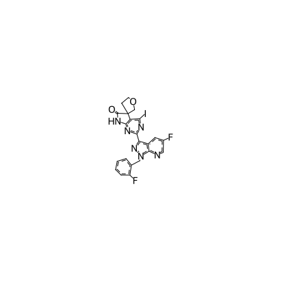 O=C1Nc2nc(-c3nn(Cc4ccccc4F)c4ncc(F)cc34)nc(I)c2C12CCOC2